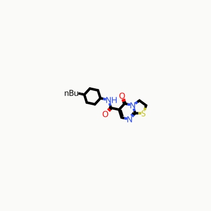 CCCCC1CCC(NC(=O)c2cnc3n(c2=O)CCS3)CC1